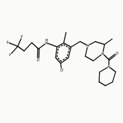 Cc1c(CN2CCN(C(=O)N3CCCCC3)C(C)C2)cc(Cl)cc1NC(=O)CCC(F)(F)F